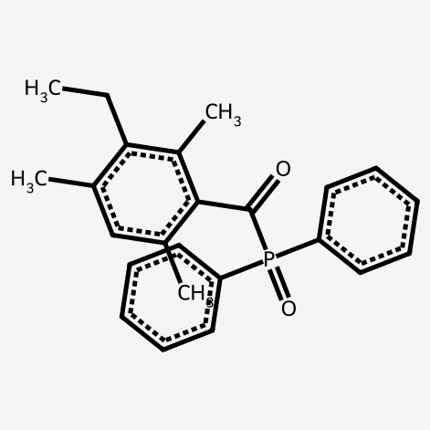 CCc1c(C)cc(C)c(C(=O)P(=O)(c2ccccc2)c2ccccc2)c1C